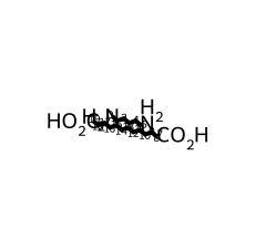 NCCCCCN.O=C(O)CCCCCCCCCCCC(=O)O